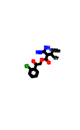 CN/C(=C(\C(=N)N)C(=O)OCC(=O)c1ccccc1Cl)C(C)C